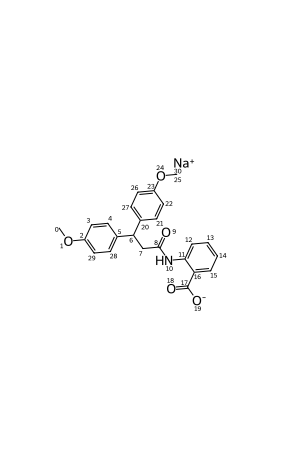 COc1ccc(C(CC(=O)Nc2ccccc2C(=O)[O-])c2ccc(OC)cc2)cc1.[Na+]